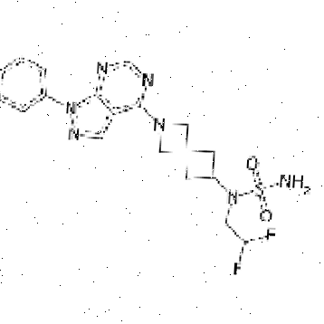 NS(=O)(=O)N(CC(F)F)C1CC2(C1)CN(c1ncnc3c1cnn3-c1ccccc1)C2